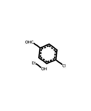 CCO.O=Cc1ccc(Cl)cc1